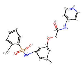 Cc1cc(NS(=O)(=O)c2ccccc2C(F)(F)F)cc(OCC(=O)Nc2ccncc2)c1